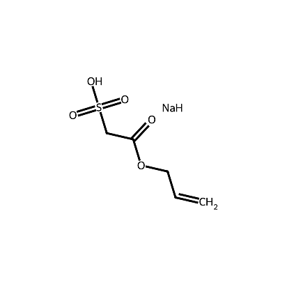 C=CCOC(=O)CS(=O)(=O)O.[NaH]